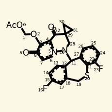 CC(=O)OCOc1c2n(ccc1=O)N(C1c3ccc(F)cc3CSc3c(F)cccc31)CC1(CC1)C2=O